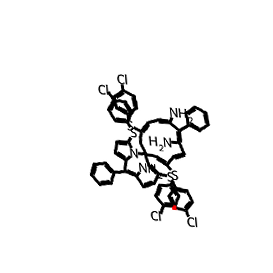 NC1=C(/c2ccccc2)c2ccc(Sc3ccc(Cl)cc3)n2C2(/C=C(Sc3ccc(Cl)cc3)/C=C\1)/C=C(Sc1ccc(Cl)cc1)/C=C/C(N)=C(c1ccccc1)/C(N)=C\C=C(\Sc1ccc(Cl)cc1)C2